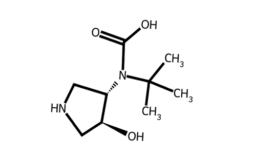 CC(C)(C)N(C(=O)O)[C@H]1CNC[C@@H]1O